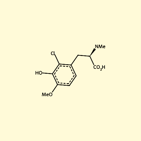 CN[C@H](Cc1ccc(OC)c(O)c1Cl)C(=O)O